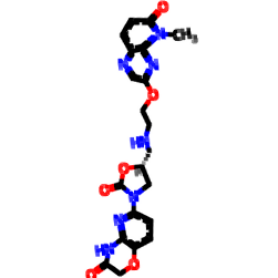 Cn1c(=O)ccc2ncc(OCCNC[C@@H]3CN(c4ccc5c(n4)NC(=O)CO5)C(=O)O3)nc21